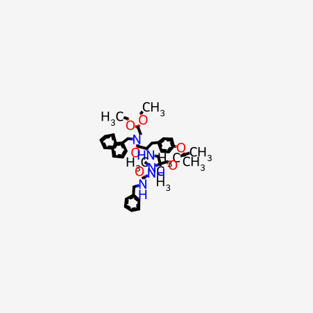 CCOC(CN(Cc1cccc2ccccc12)C(=O)C(Cc1ccc(OC(C)(C)C)cc1)NCC(C)(C=O)N(C)NC(=O)NCc1ccccc1)OCC